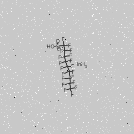 O=S(=O)(O)C(F)(F)C(F)(F)C(F)(F)C(F)(F)C(F)(F)C(F)(F)C(F)(F)C(F)(F)C(F)(F)F.[InH3]